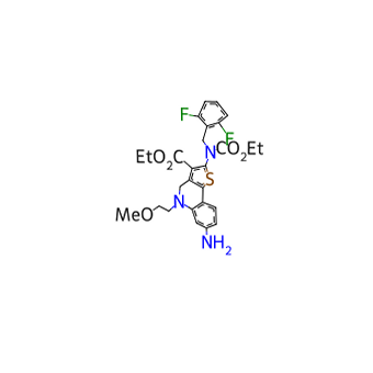 CCOC(=O)c1c(N(Cc2c(F)cccc2F)C(=O)OCC)sc2c1CN(CCOC)c1cc(N)ccc1-2